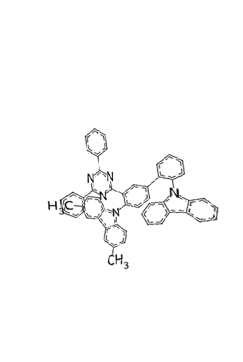 Cc1ccc2c(c1)c1cc(C)ccc1n2-c1ccc(-c2ccccc2-n2c3ccccc3c3ccccc32)cc1-c1nc(-c2ccccc2)nc(-c2ccccc2)n1